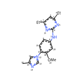 CCc1cc(CC)nc(Nc2ccc(-n3cnc(C)c3)c(OC)c2)n1